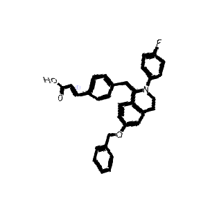 O=C(O)/C=C/c1ccc(CC2c3ccc(OCc4ccccc4)cc3CCN2c2ccc(F)cc2)cc1